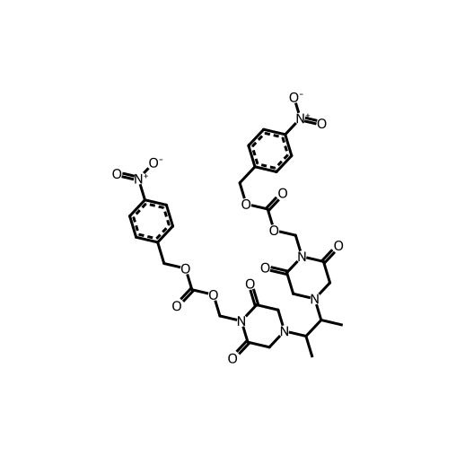 CC(C(C)N1CC(=O)N(COC(=O)OCc2ccc([N+](=O)[O-])cc2)C(=O)C1)N1CC(=O)N(COC(=O)OCc2ccc([N+](=O)[O-])cc2)C(=O)C1